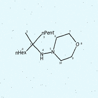 CCCCCCC(C)(CCCCC)NN1CCOCC1